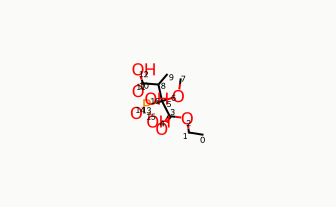 CCOC(=O)C(OC)(C(C)C(=O)O)P(=O)(O)O